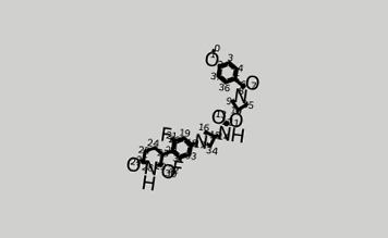 COc1ccc(C(=O)N2CC(OC(=O)NC3CN(c4cc(F)c(C5CCC(=O)NC5=O)c(F)c4)C3)C2)cc1